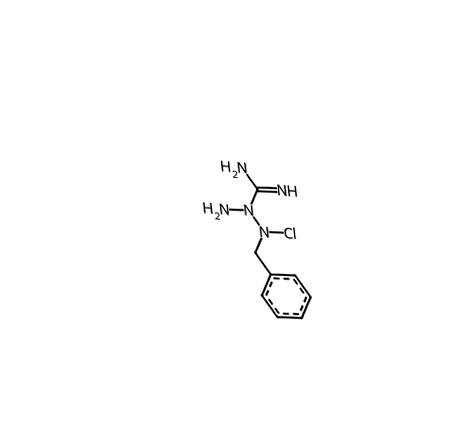 N=C(N)N(N)N(Cl)Cc1ccccc1